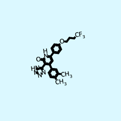 Cc1ccc(-c2cc(-c3ccc(OCCCC(F)(F)F)cc3)[nH]c(=O)c2-c2nnn[nH]2)cc1C